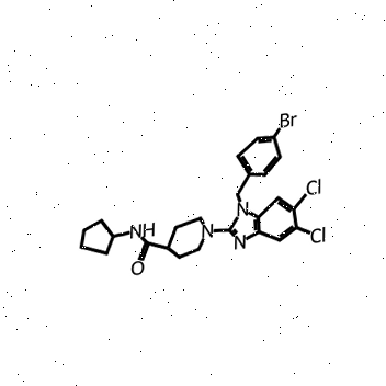 O=C(NC1CCCC1)C1CCN(c2nc3cc(Cl)c(Cl)cc3n2Cc2ccc(Br)cc2)CC1